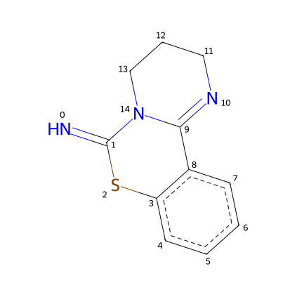 N=C1Sc2ccccc2C2=NCCCN12